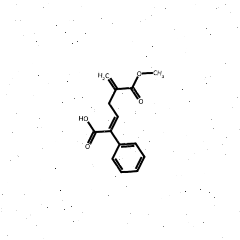 C=C(CC=C(C(=O)O)c1ccccc1)C(=O)OC